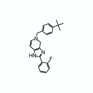 CC(C)(C)c1ccc(CN2C=Cc3[nH]c(-c4ccccc4F)nc3C2)cc1